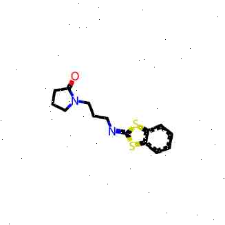 O=C1CCCN1CCCN=c1sc2ccccc2s1